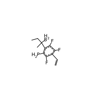 BC(C)(CC)c1c(F)c(F)c(C=C)c(F)c1P